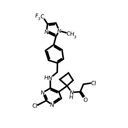 Cn1cc(C(F)(F)F)nc1-c1ccc(CNc2nc(Cl)ncc2C2(NC(=O)CCl)CCC2)cc1